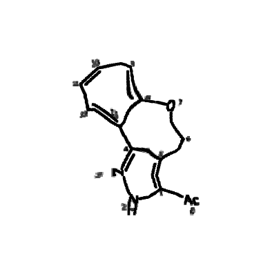 CC(=O)c1[nH]nc2c1COc1ccccc1-2